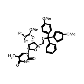 COc1ccc(C(OC[C@H]2O[C@@H](n3cc(C)c(=O)[nH]c3=O)C[C@@H]2OP(OC)N(C(C)C)C(C)C)(c2ccccc2)c2ccc(OC)cc2)cc1